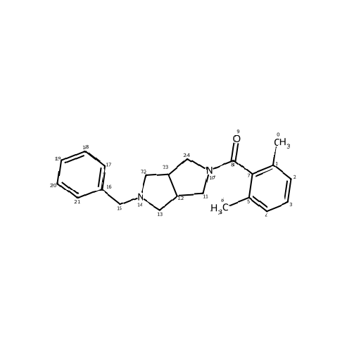 Cc1cccc(C)c1C(=O)N1CC2CN(Cc3ccccc3)CC2C1